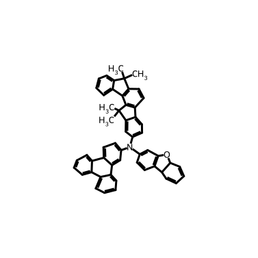 CC1(C)c2ccccc2-c2c1ccc1c2C(C)(C)c2cc(N(c3ccc4c(c3)OC3C=CC=CC43)c3ccc4c5ccccc5c5ccccc5c4c3)ccc2-1